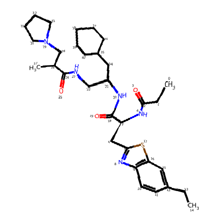 CCC(=O)N[C@@H](Cc1nc2ccc(CC)cc2s1)C(=O)NC(CNC(=O)C(C)CN1CCCC1)CC1CCCCC1